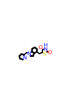 O=C1NC(=O)C(Cc2cccc3c2ccn3Cc2ccccn2)S1